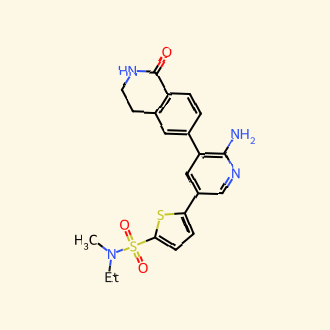 CCN(C)S(=O)(=O)c1ccc(-c2cnc(N)c(-c3ccc4c(c3)CCNC4=O)c2)s1